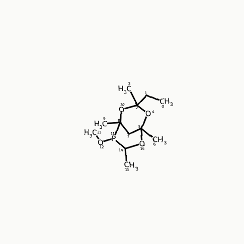 CCC1(C)OC2(C)CC(C)(O1)P(OC)C(C)O2